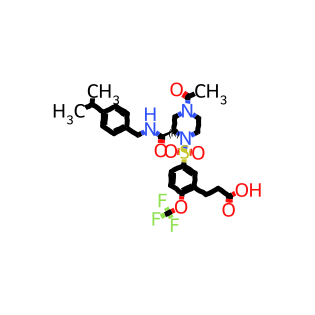 CC(=O)N1CCN(S(=O)(=O)c2ccc(OC(F)(F)F)c(CCC(=O)O)c2)[C@@H](C(=O)NCc2ccc(C(C)C)cc2)C1